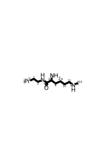 CC(C)CCNC(=O)C(N)CCCCNI